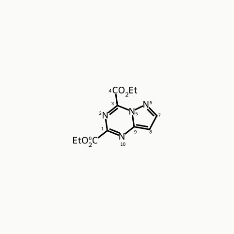 CCOC(=O)c1nc(C(=O)OCC)n2nccc2n1